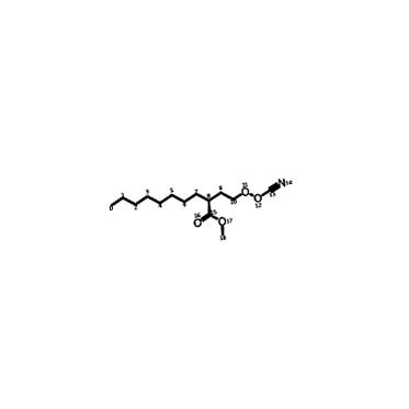 CCCCCCCCC(CCOOC#N)C(=O)OC